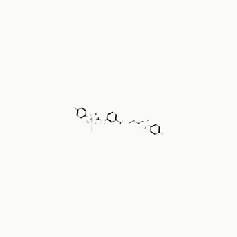 Cc1ccc(S(=O)(=O)CCCCOC(=O)c2cccc(NC(=O)NS(=O)(=O)c3ccc(C)cc3)c2)cc1